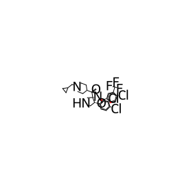 CN(C(=O)c1ccc(Cl)c(C(F)(F)F)c1)[C@@]1(C(=O)C2CCN(CC3CC3)CC2)CNC[C@@H]1c1ccc(Cl)c(Cl)c1